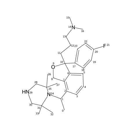 CC(c1cccc2c1COC2(CCCN(C)C)c1ccc(F)cc1)N1C(C)(C)CNCC1(C)C